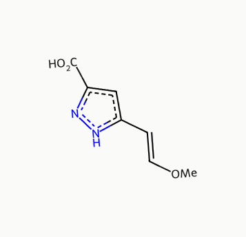 COC=Cc1cc(C(=O)O)n[nH]1